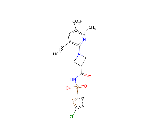 C#Cc1cc(C(=O)O)c(C)nc1N1CC(C(=O)NS(=O)(=O)c2ccc(Cl)s2)C1